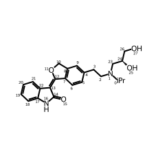 CC(C)N(CCc1ccc2c(c1)COC2=C1C(=O)Nc2ccccc21)C[C@H](O)CO